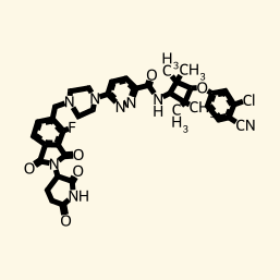 CC1(C)C(NC(=O)c2ccc(N3CCN(Cc4ccc5c(c4F)C(=O)N(C4CCC(=O)NC4=O)C5=O)CC3)nn2)C(C)(C)C1Oc1ccc(C#N)c(Cl)c1